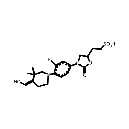 CC1(C)CN(c2ccc(N3CC(CCS(=O)(=O)O)OC3=O)cc2F)CCC1=CC#N